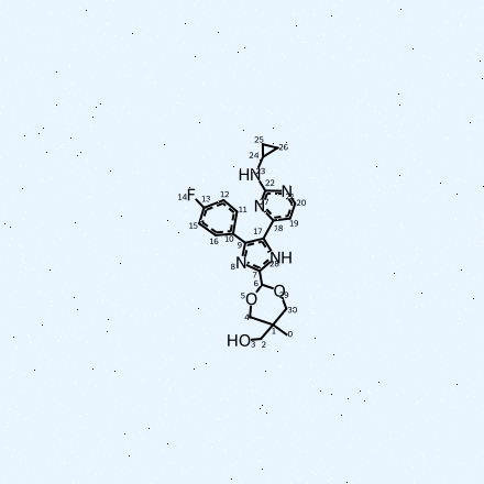 CC1(CO)COC(c2nc(-c3ccc(F)cc3)c(-c3ccnc(NC4CC4)n3)[nH]2)OC1